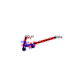 COCCOCCOCCOCCOCCOCCOCCOCCC(=O)NC[C@@H](C(=O)NCC(=O)NCC(=O)N[C@@H](Cc1ccccc1)C(=O)NCC(=O)NCOCC[C@@H](O)C(=O)O)N1C(=O)C=CC1=O